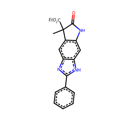 CCOC(=O)C1(C)C(=O)Nc2cc3[nH]c(-c4ccccc4)nc3cc21